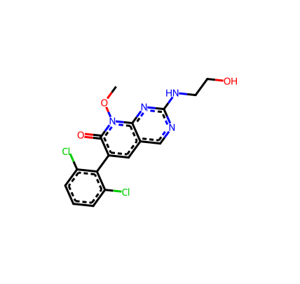 COn1c(=O)c(-c2c(Cl)cccc2Cl)cc2cnc(NCCO)nc21